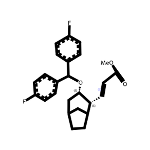 COC(=O)/C=C/[C@@H]1C2CCC(C2)C[C@@H]1OC(c1ccc(F)cc1)c1ccc(F)cc1